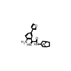 CN1C2CCC1CC(NC(=O)C(=N)c1cc(-c3ccoc3)ccc1N)C2